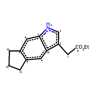 CCOC(=O)Cc1c[nH]c2cc3c(cc12)CCC3